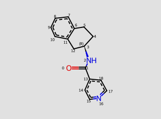 O=C(N[C@@H]1CCc2ccccc2C1)c1ccncc1